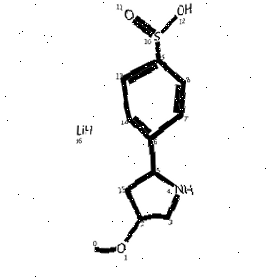 COC1CNC(c2ccc(S(=O)O)cc2)C1.[LiH]